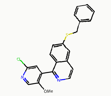 COc1cnc(Cl)cc1-c1nccc2cc(SCc3ccccc3)ccc12